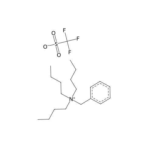 CCCC[N+](CCCC)(CCCC)Cc1ccccc1.O=S(=O)([O-])C(F)(F)F